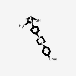 COc1ccc(N2CCN(c3ccc(-n4c(C)nnc4S)cc3)CC2)cc1